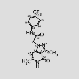 Cc1nc2c(c(C)nn2CC(=O)Nc2ccc(C(F)(F)F)cc2)c(=O)[nH]1